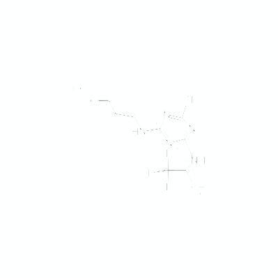 COCCCNc1nc(Cl)nc(NC(C)C(F)(F)F)n1